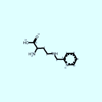 NC(CCNCc1ccccn1)C(=O)O